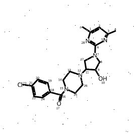 Cc1cc(C)nc(N2CC(O)C(N3CCN(C(=O)c4ccc(Cl)cc4)CC3)C2)n1